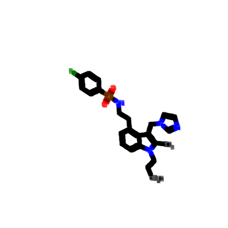 Cc1c(Cn2ccnc2)c2c(CCNS(=O)(=O)c3ccc(F)cc3)cccc2n1CCC(=O)O